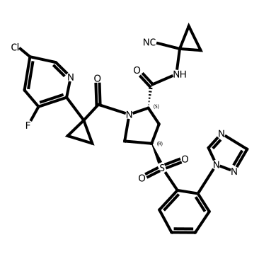 N#CC1(NC(=O)[C@@H]2C[C@@H](S(=O)(=O)c3ccccc3-n3cncn3)CN2C(=O)C2(c3ncc(Cl)cc3F)CC2)CC1